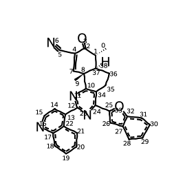 C[C@H]1C(=O)C(C#N)=C[C@@]2(C)c3nc(-c4ccnc5ccccc45)nc(-c4cc5ccccc5o4)c3CC[C@H]12